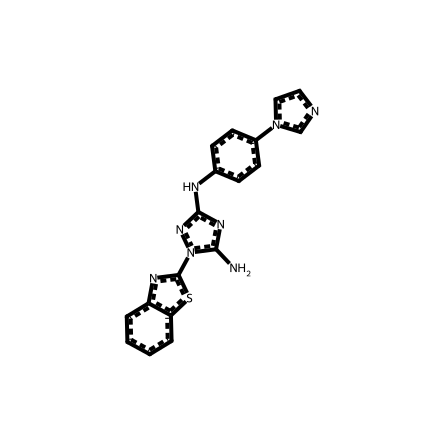 Nc1nc(Nc2ccc(-n3ccnc3)cc2)nn1-c1nc2ccccc2s1